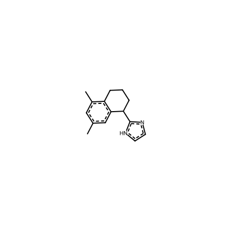 Cc1cc(C)c2c(c1)C(c1ncc[nH]1)CCC2